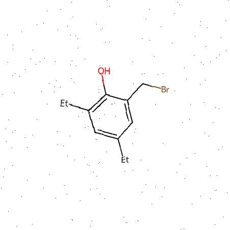 CCc1cc(CC)c(O)c(CBr)c1